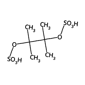 CC(C)(OS(=O)(=O)O)C(C)(C)OS(=O)(=O)O